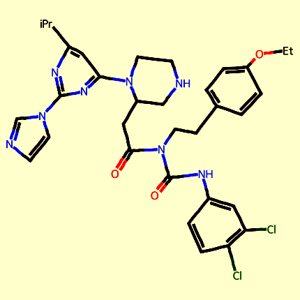 CCOc1ccc(CCN(C(=O)CC2CNCCN2c2cc(C(C)C)nc(-n3ccnc3)n2)C(=O)Nc2ccc(Cl)c(Cl)c2)cc1